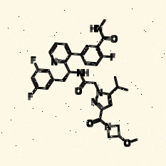 CNC(=O)c1cc(-c2cccnc2[C@H](Cc2cc(F)cc(F)c2)NC(=O)Cn2nc(C(=O)N3CC(OC)C3)cc2C(C)C)ccc1F